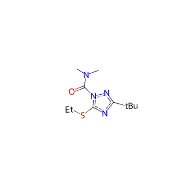 CCSc1nc(C(C)(C)C)nn1C(=O)N(C)C